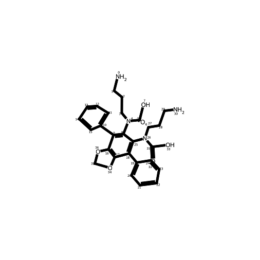 NCCCN(C(=O)O)c1c(-c2ccccc2)c2c(c(-c3ccccc3)c1N(CCCN)C(=O)O)OCO2